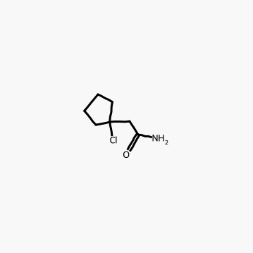 NC(=O)CC1(Cl)CCCC1